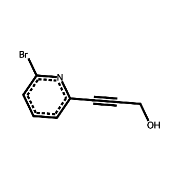 OCC#Cc1cccc(Br)n1